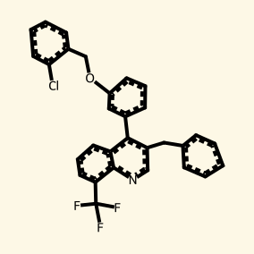 FC(F)(F)c1cccc2c(-c3cccc(OCc4ccccc4Cl)c3)c(Cc3ccccc3)cnc12